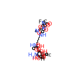 CC(=O)O[C@@]12CO[C@@H]1C[C@H](O)[C@@]1(C)C(=O)[C@H](N)C3=C(C)[C@@H](OC(=O)[C@H](O)[C@@H](NC(=O)CCCCCCCNC(=O)c4ccc5c(c4)C4(c6ccc(N7CCC7)cc6Oc6cc(N7CCC7)ccc64)N(c4ccc6c(C(F)(F)F)cc(=O)oc6c4)C5=O)c4ccccc4)CC(O)([C@@H](OC(=O)c4ccccc4)C12)C3(C)C